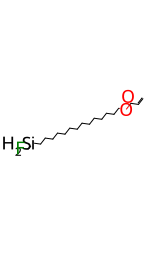 C=CC(=O)OCCCCCCCCCCCCCC[SiH2]CF